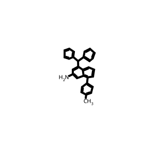 Cc1ccc(-c2cccc3c(C(c4ccccc4)c4ccccc4)cc(N)cc23)cc1